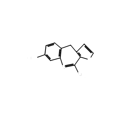 NC1=Nc2cc(C=O)ccc2Cc2ccsc21